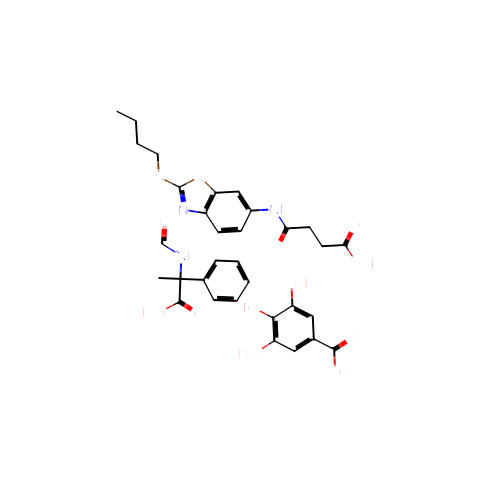 CC(NC=O)(C(=O)O)c1ccccc1.CCCCSc1nc2ccc(NC(=O)CCC(=O)O)cc2s1.O=C(O)c1cc(O)c(O)c(O)c1